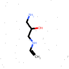 C=CNCC(O)CN